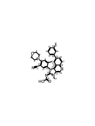 Cc1cc(N2CCOCC2)c(C#N)cc1-n1c(=NC(=O)O)n(C)c2cnc3ccc(-c4cccc(F)c4)cc3c21